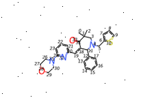 CC1(C)CN(Cc2cccs2)C(c2ccccc2)/C(=C/c2cccc(N3CCOCC3)n2)C1=O